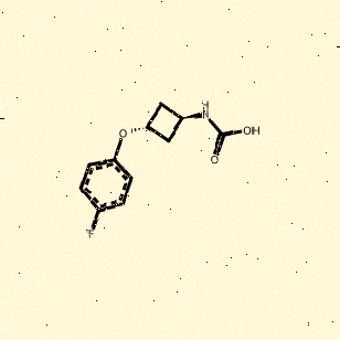 O=C(O)N[C@H]1C[C@H](Oc2ccc(F)cc2)C1